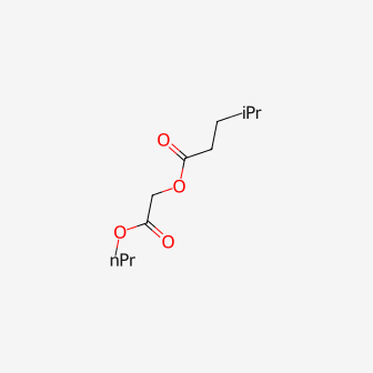 CCCOC(=O)COC(=O)CCC(C)C